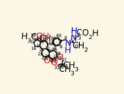 C=C(NCC(=O)O)NCc1ccc([C@H]2CC3(C)C(CCC3(C)O)C3CCC4(O)CC5(CCC4=C32)OCC(C)(C)CO5)cc1